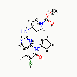 Cc1c(Br)c(=O)n(C2CCCC2)c2nc(NC3CCN(C(=O)OC(C)(C)C)CC3)ncc12